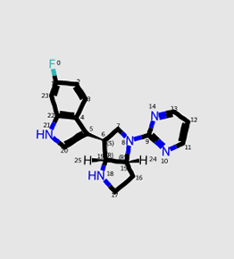 Fc1ccc2c([C@H]3CN(c4ncccn4)[C@@H]4CCN[C@H]34)c[nH]c2c1